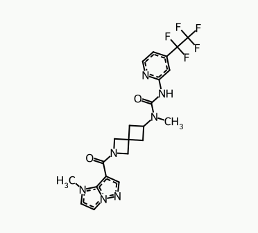 CN(C(=O)Nc1cc(C(F)(F)C(F)(F)F)ccn1)C1CC2(C1)CN(C(=O)c1cnn3ccn(C)c13)C2